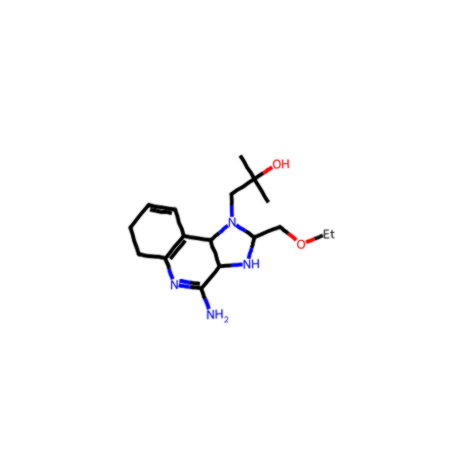 CCOCC1NC2C(N)=NC3=C(C=CCC3)C2N1CC(C)(C)O